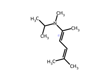 CC(C)=C/C=C(\C)N(C)C(C)C